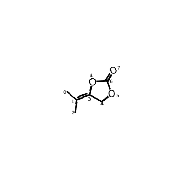 CC(C)=C1COC(=O)O1